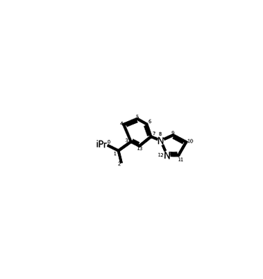 CC(C)C(C)c1cccc(-n2cccn2)c1